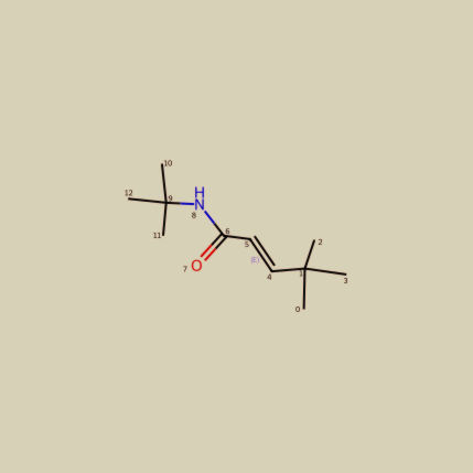 CC(C)(C)/C=C/C(=O)NC(C)(C)C